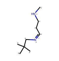 CNCC/C=N\CC(C)(C)C